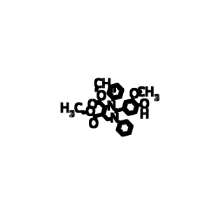 CCOC(=O)C1=C(C(=O)OCC)N(c2ccccc2)C(c2ccc(O)c(OC)c2)N(c2ccccc2)C1